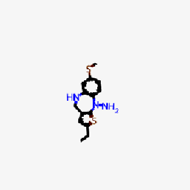 CCc1cc2c(s1)N(N)c1ccc(SC)cc1NC2